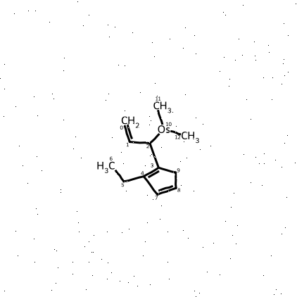 C=C[CH](C1=C(CC)C=CC1)[Os]([CH3])[CH3]